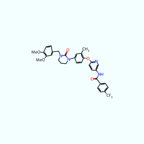 COc1ccc(CN2CCCN(c3ccc(Oc4ccc(NC(=O)c5ccc(C(F)(F)F)cc5)cn4)c(C)c3)C2=O)cc1OC